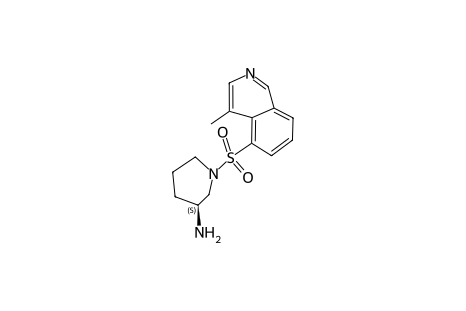 Cc1cncc2cccc(S(=O)(=O)N3CCC[C@H](N)C3)c12